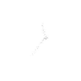 CCCCCCCCCCCCCCCCCCn1cc[n+](CC)c1CCCCCCCCCC